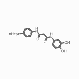 CCCCCCCc1ccc(NC(=O)CC(=O)Nc2ccc(O)c(O)c2)cc1